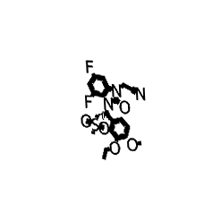 CCOc1cc([C@H](CS(C)(=O)=O)n2c(=O)n(CC#N)c3cc(F)cc(F)c32)ccc1OC